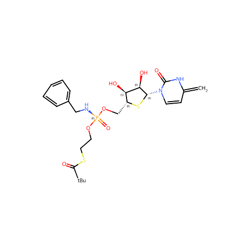 C=C1C=CN([C@@H]2S[C@H](CO[P@@](=O)(NCc3ccccc3)OCCSC(=O)C(C)(C)C)[C@@H](O)[C@H]2O)C(=O)N1